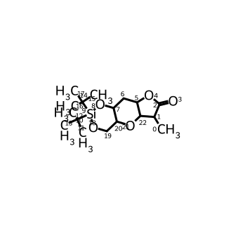 CC1C(=O)OC2CC3O[Si](C(C)(C)C)(C(C)(C)C)OCC3OC21